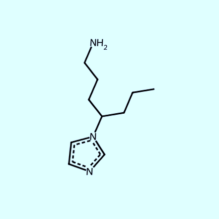 CCCC(CCCN)n1ccnc1